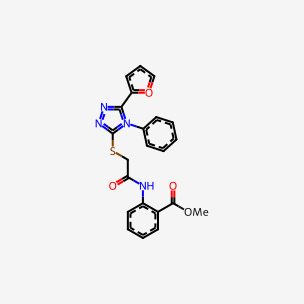 COC(=O)c1ccccc1NC(=O)CSc1nnc(-c2ccco2)n1-c1ccccc1